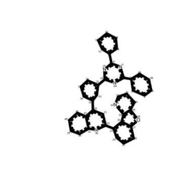 c1ccc(-c2nc(-c3ccccc3)nc(-c3cccc(-c4cc(-c5cccc6oc7cccnc7c56)nc5ccccc45)c3)n2)cc1